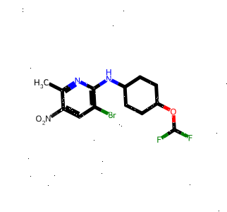 Cc1nc(NC2CCC(OC(F)F)CC2)c(Br)cc1[N+](=O)[O-]